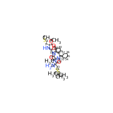 COC(=O)[C@H](CCSC)NC(=O)CN1C(=O)C(N(C)C(=O)C(N)CSSC(C)(C)C)N=C(c2ccccc2)c2ccccc21